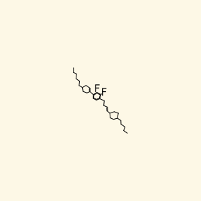 CCCCCCC1CC=C(c2ccc(CC/C=C/C3CCC(CCCCC)CC3)c(F)c2F)CC1